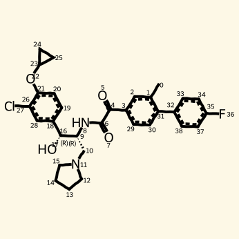 Cc1cc(C(=O)C(=O)N[C@H](CN2CCCC2)[C@H](O)c2ccc(OC3CC3)c(Cl)c2)ccc1-c1ccc(F)cc1